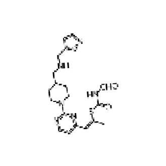 C/C(=C/c1ccnc(N2CCC(CNCc3ccsc3)CC2)n1)SC(=O)NC=O